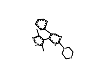 Cc1noc(C)c1-c1nc(N2CCSCC2)ncc1-c1ccccc1